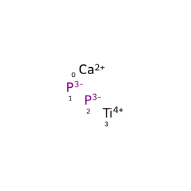 [Ca+2].[P-3].[P-3].[Ti+4]